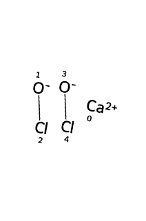 [Ca+2].[O-]Cl.[O-]Cl